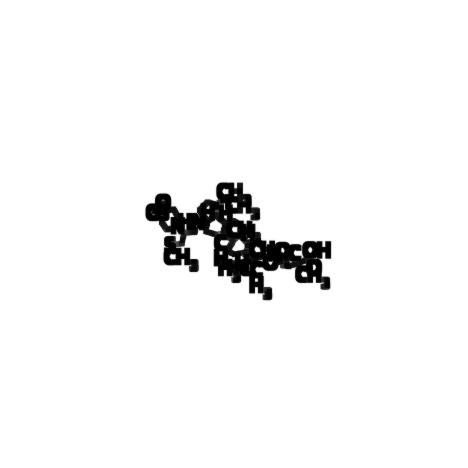 CSCC(CN[C@]12CC[C@@H](C(C)C)[C@@H]1[C@H]1CC[C@@H]3[C@@]4(C)CC[C@H](OC(=O)CC(C)(C)C(=O)O)C(C)(C)[C@@H]4CC[C@@]3(C)[C@]1(C)CC2)N1CCS(=O)(=O)CC1